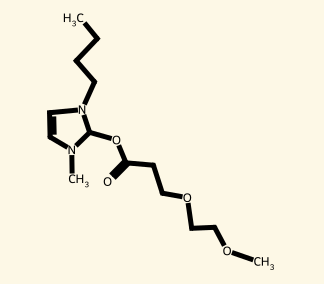 CCCCN1C=CN(C)C1OC(=O)CCOCCOC